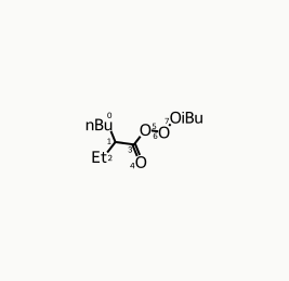 CCCCC(CC)C(=O)OOOCC(C)C